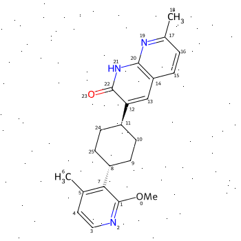 COc1nccc(C)c1[C@H]1CC[C@H](c2cc3ccc(C)nc3[nH]c2=O)CC1